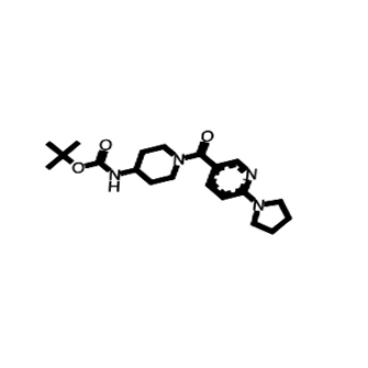 CC(C)(C)OC(=O)NC1CCN(C(=O)c2ccc(N3CCCC3)nc2)CC1